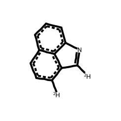 [2H]C1=Nc2cccc3ccc([2H])c1c23